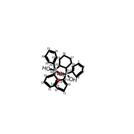 OP(O)(c1ccccc1)(c1ccccc1)C1CCCCC1P(O)(O)(c1ccccc1)c1ccccc1